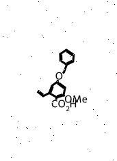 C=Cc1cc(OCc2ccccc2)cc(OC)c1C(=O)O